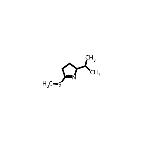 CSC1=NC(C(C)C)CC1